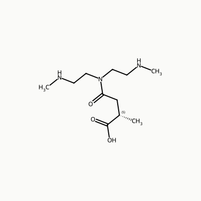 CNCCN(CCNC)C(=O)C[C@H](C)C(=O)O